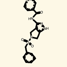 O=C(Nc1n[nH]c2c1CN(S(=O)(=O)Cc1ccccc1)C2)c1ccncc1